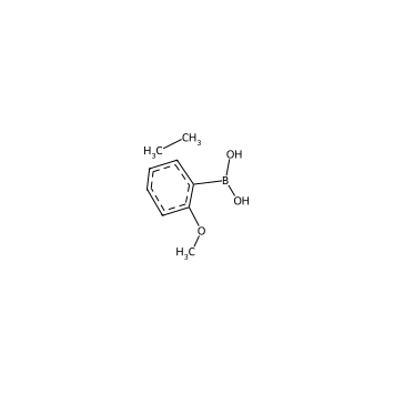 CC.COc1ccccc1B(O)O